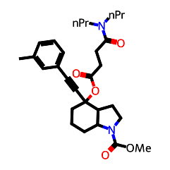 CCCN(CCC)C(=O)CCC(=O)OC1(C#Cc2cccc(C)c2)CCCC2C1CCN2C(=O)OC